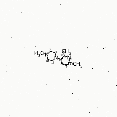 Cc1ccc(N2CCN(C)CC2)c(C)n1